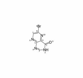 O=c1[nH]cnc2ncc(Br)nc12